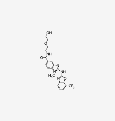 Cn1c(NC2=NC3C=CC=C(C(F)(F)F)C3O2)nc2cc(C(=O)NCCOCCO)ccc21